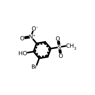 CS(=O)(=O)c1cc(Br)c(O)c([N+](=O)[O-])c1